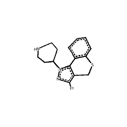 CCc1nn(C2CCNCC2)c2c1CSc1ccccc1-2